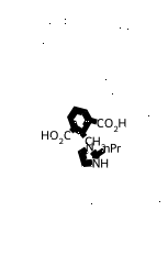 CCCc1ncc[nH]1.Cc1c(C(=O)O)cccc1C(=O)O